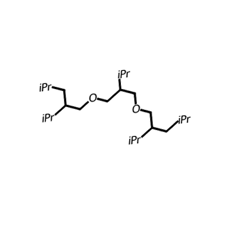 CC(C)CC(COCC(COCC(CC(C)C)C(C)C)C(C)C)C(C)C